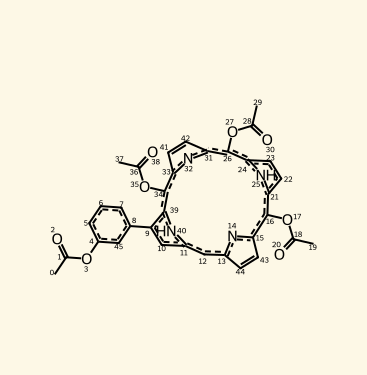 CC(=O)Oc1cccc(-c2cc3cc4nc(c(OC(C)=O)c5ccc([nH]5)c(OC(C)=O)c5nc(c(OC(C)=O)c2[nH]3)C=C5)C=C4)c1